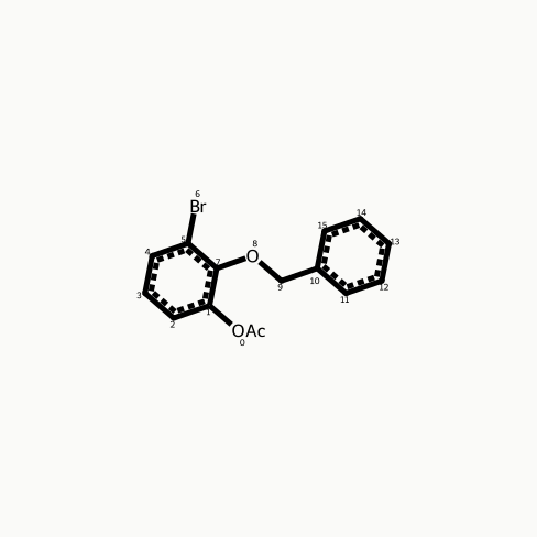 CC(=O)Oc1cccc(Br)c1OCc1ccccc1